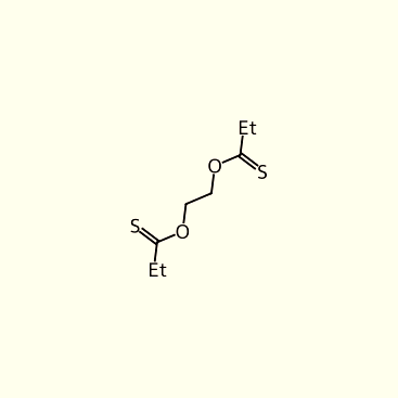 CCC(=S)OCCOC(=S)CC